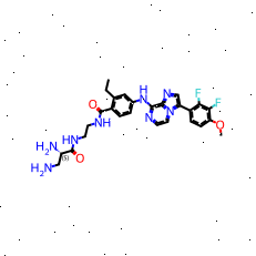 CCc1cc(Nc2nccn3c(-c4ccc(OC)c(F)c4F)cnc23)ccc1C(=O)NCCNC(=O)[C@@H](N)CN